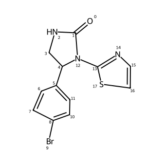 O=C1NCC(c2ccc(Br)cc2)N1c1nccs1